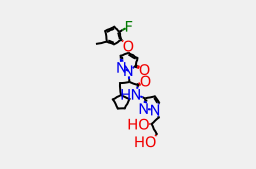 Cc1ccc(F)c(Oc2cnn(C(CC3CCCC3)C(=O)Nc3ccn(C[C@@H](O)CO)n3)c(=O)c2)c1